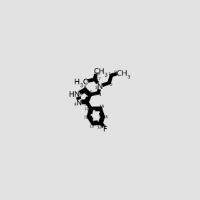 CCCN(Cc1c[nH]nc1-c1ccc(F)cc1)C(C)C